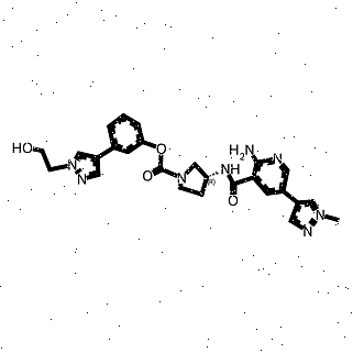 Cn1cc(-c2cnc(N)c(C(=O)N[C@@H]3CCN(C(=O)Oc4cccc(-c5cnn(CCO)c5)c4)C3)c2)cn1